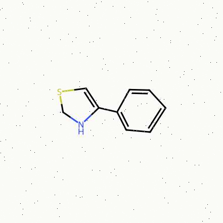 [CH]1NC(c2ccccc2)=CS1